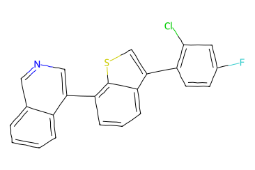 Fc1ccc(-c2csc3c(-c4cncc5ccccc45)cccc23)c(Cl)c1